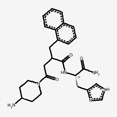 NC(=O)[C@H](Cc1c[nH]cn1)NC(=O)C(CC(=O)N1CCC(N)CC1)Cc1cccc2ccccc12